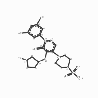 CS(=O)(=O)N1CCN(c2cnn(-c3cc(F)cc(F)c3)c(=O)c2O[C@H]2CC[C@@H](F)C2)CC1